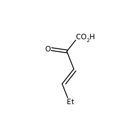 CCC=CC(=O)C(=O)O